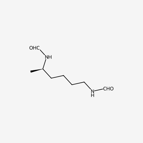 C[C@H](CCCCNC=O)NC=O